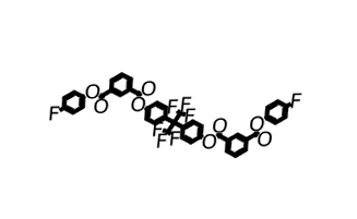 O=C(Oc1ccc(F)cc1)c1cccc(C(=O)Oc2ccc(C(c3ccc(OC(=O)c4cccc(C(=O)Oc5ccc(F)cc5)c4)cc3)(C(F)(F)F)C(F)(F)F)cc2)c1